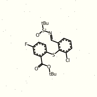 CC(C)(C)OC(=O)c1cc(F)ccc1Sc1c(Cl)cccc1C=N[S+]([O-])C(C)(C)C